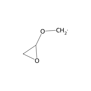 [CH2]OC1CO1